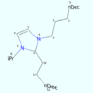 CCCCCCCCCCCCCN1C=CN(C(C)C)C1CCCCCCCCCCCC